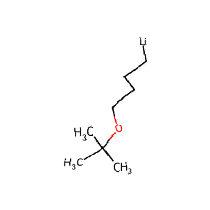 [Li][CH2]CCCOC(C)(C)C